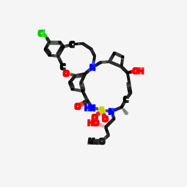 COC[C@H](O)CN1[C@@H](C)C/C=C/[C@H](O)C2CCC2CN2CCCCc3cc(Cl)ccc3COc3ccc(cc32)C(=O)NS1(=O)=O